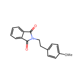 COc1ccc(CCN2C(=O)c3ccccc3C2=O)cc1